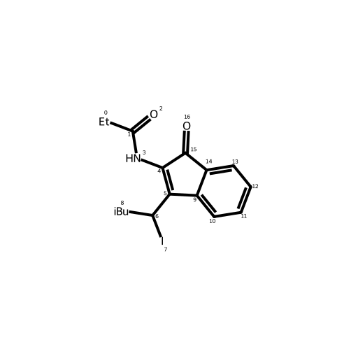 CCC(=O)NC1=C(C(I)C(C)CC)c2ccccc2C1=O